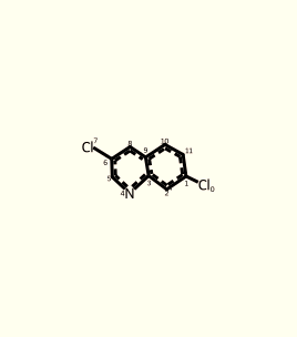 Clc1[c]c2ncc(Cl)cc2cc1